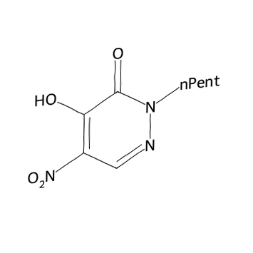 CCCCCn1ncc([N+](=O)[O-])c(O)c1=O